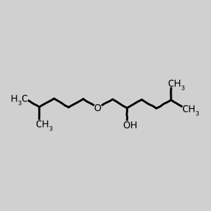 CC(C)CCCOCC(O)CCC(C)C